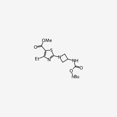 CCCCOC(=O)NC1CN(c2nc(CC)c(C(=O)OC)s2)C1